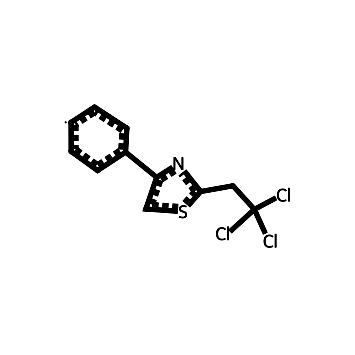 ClC(Cl)(Cl)Cc1nc(-c2cc[c]cc2)cs1